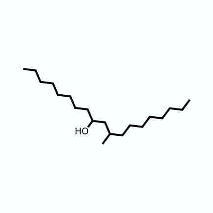 CCCCCCCCC(C)CC(O)CCCCCCCC